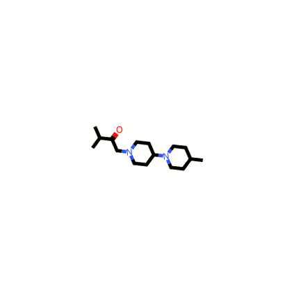 CC1CCN(C2CCN(CC(=O)C(C)C)CC2)CC1